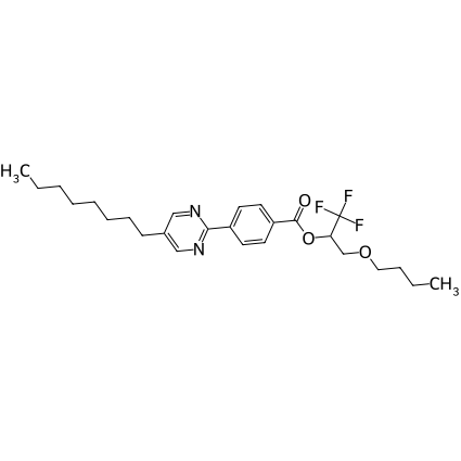 CCCCCCCCc1cnc(-c2ccc(C(=O)OC(COCCCC)C(F)(F)F)cc2)nc1